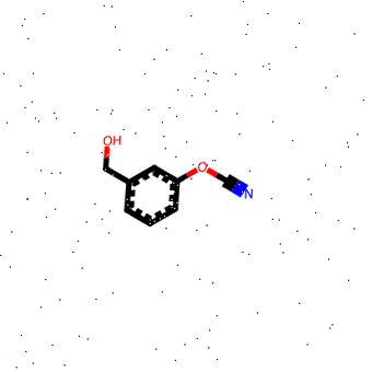 N#COc1cccc(CO)c1